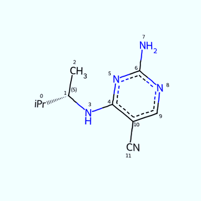 CC(C)[C@H](C)Nc1nc(N)ncc1C#N